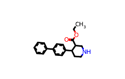 CCOC(=O)C1CNCCC1c1ccc(-c2ccccc2)cc1